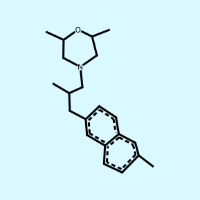 Cc1ccc2cc(CC(C)CN3CC(C)OC(C)C3)ccc2c1